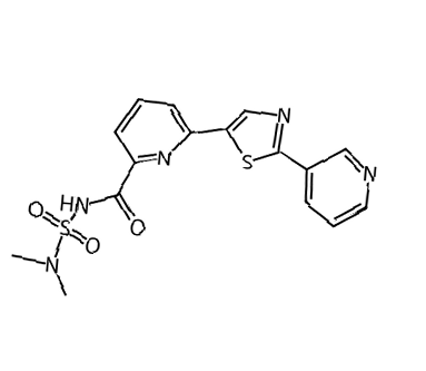 CN(C)S(=O)(=O)NC(=O)c1cccc(-c2cnc(-c3cccnc3)s2)n1